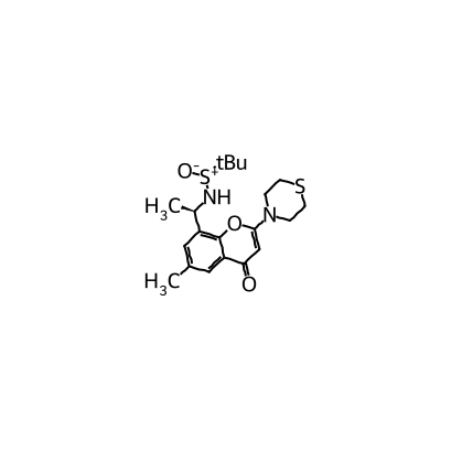 Cc1cc([C@@H](C)N[S+]([O-])C(C)(C)C)c2oc(N3CCSCC3)cc(=O)c2c1